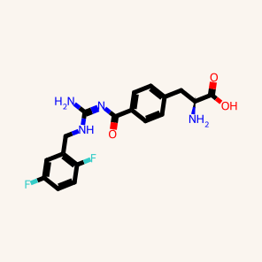 NC(=NC(=O)c1ccc(C[C@H](N)C(=O)O)cc1)NCc1cc(F)ccc1F